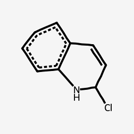 ClC1C=Cc2ccccc2N1